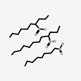 CCCCCCC(CCC)[N+](=O)[O-].CCCCCCCCC(CCC)[N+](=O)[O-].CCCCCCCC[N+](=O)[O-]